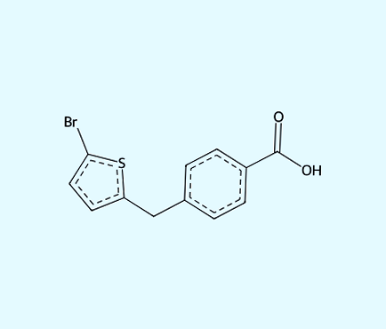 O=C(O)c1ccc(Cc2ccc(Br)s2)cc1